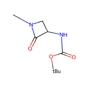 CN1CC(NC(=O)OC(C)(C)C)C1=O